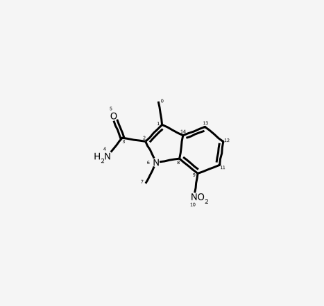 Cc1c(C(N)=O)n(C)c2c([N+](=O)[O-])cccc12